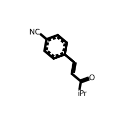 CC(C)C(=O)C=Cc1ccc(C#N)cc1